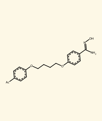 CC(=O)c1ccc(OCCCCOc2ccc(C(N)=NO)cc2)cc1